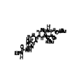 CCNC(=O)Nc1nc2cc(-c3cnc(NC(COC(C)(C)C)C(=O)OC(C)(C)C)nc3)ccc2[nH]1